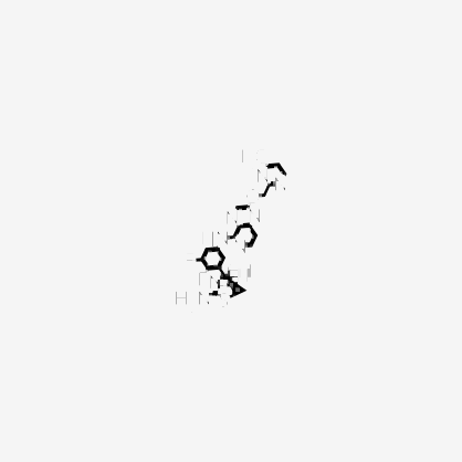 Cc1ccnc(COc2cnc3c(Nc4cc(F)c(F)c([C@@]5(C)N=C(N)S[C@@]6(C(F)F)C[C@@H]56)c4)nccc3n2)n1